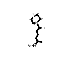 CC(=O)NC(C)CCCC(=O)N1CCOCC1